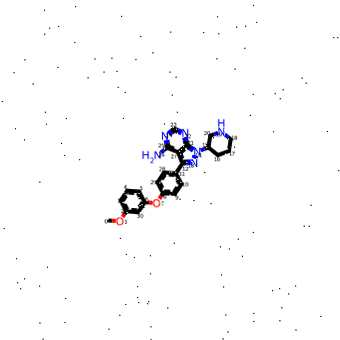 COc1cccc(Oc2ccc(-c3nn(C4CCCNC4)c4ncnc(N)c34)cc2)c1